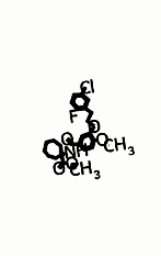 COC(=O)C1(NC(=O)c2ccc(OC)c(OCCc3cc(Cl)ccc3F)c2)CCCCCC1